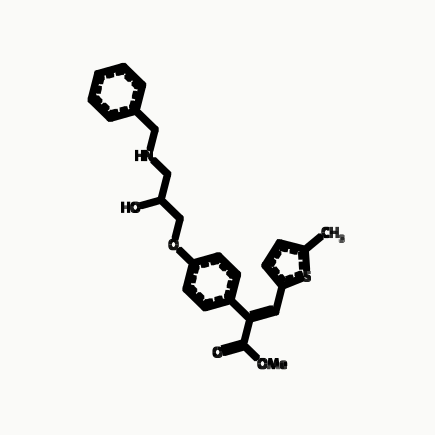 COC(=O)/C(=C/c1ccc(C)s1)c1ccc(OCC(O)CNCc2ccccc2)cc1